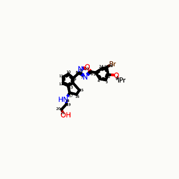 CC(C)Oc1ccc(-c2nc(-c3cccc4c3CCC4NCCO)no2)cc1Br